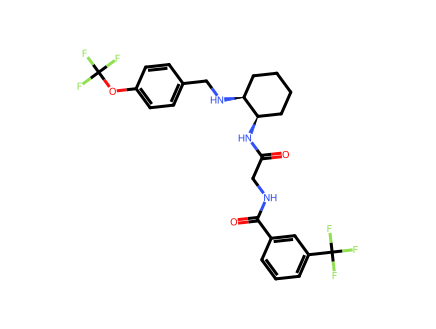 O=C(CNC(=O)c1cccc(C(F)(F)F)c1)N[C@@H]1CCCC[C@@H]1NCc1ccc(OC(F)(F)F)cc1